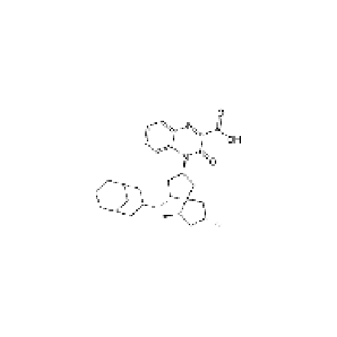 C[C@@H]1C[C@@H](C)C2(C1)C[C@H](n1c(=O)c(C(=O)O)nc3ccccc31)C[C@H]2CC1CC2CCCC(C2)C1